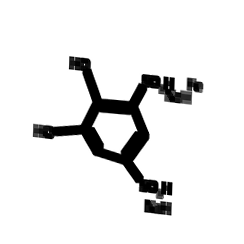 O=S(=O)(O)c1cc(O)c(O)c(S(=O)(=O)O)c1.[Fe].[NaH].[NaH]